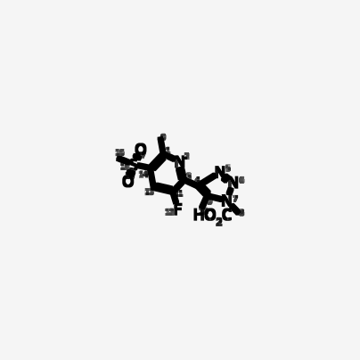 Cc1nc(-c2nnn(C)c2C(=O)O)c(F)cc1S(C)(=O)=O